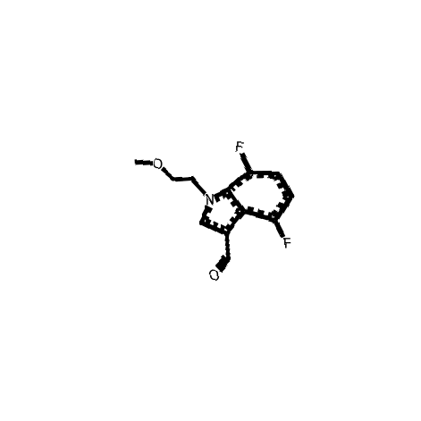 COCCn1cc(C=O)c2c(F)ccc(F)c21